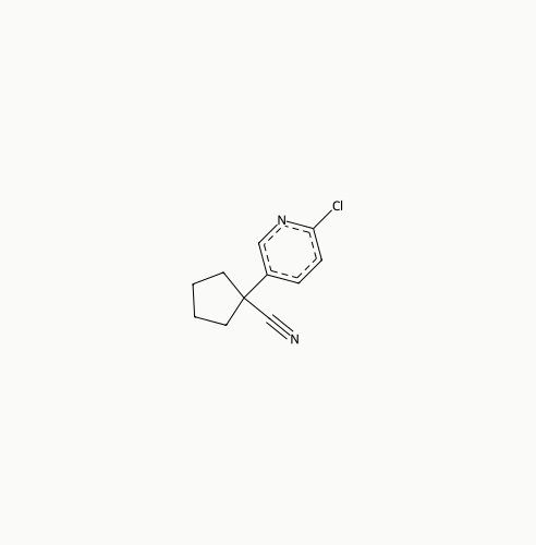 N#CC1(c2ccc(Cl)nc2)CCCC1